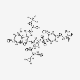 CC(C)(C)OC(=O)N1CC(C(=O)N2C[C@H](S(=O)(=O)c3ccc(OCC(F)(F)F)cc3Cl)C[C@H]2C(=O)N(C#N)C2CC2)(c2ncc(Cl)cc2F)C1